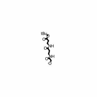 CC(C)(C)OC(=O)CCNC(=O)CCNC(=O)C[O]